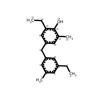 CCc1cc(C)cc(Cc2cc(C)c(O)c(CC)c2)c1